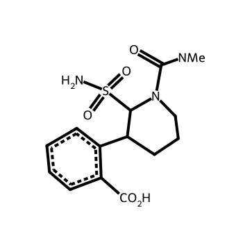 CNC(=O)N1CCCC(c2ccccc2C(=O)O)C1S(N)(=O)=O